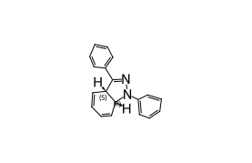 C1=C[C@@H]2C(c3ccccc3)=NN(c3ccccc3)[C@@H]2C=C1